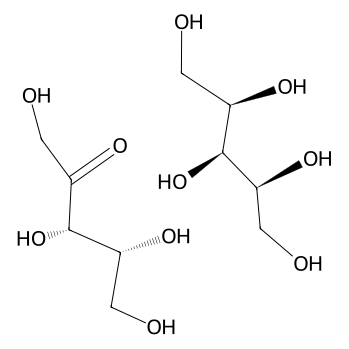 O=C(CO)[C@@H](O)[C@H](O)CO.OC[C@@H](O)[C@H](O)[C@@H](O)CO